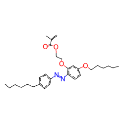 C=C(C)C(=O)OCCOc1cc(OCCCCCC)ccc1N=Nc1ccc(CCCCCC)cc1